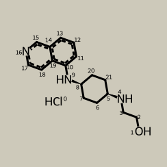 Cl.OCCN[C@H]1CC[C@@H](Nc2cccc3cnccc23)CC1